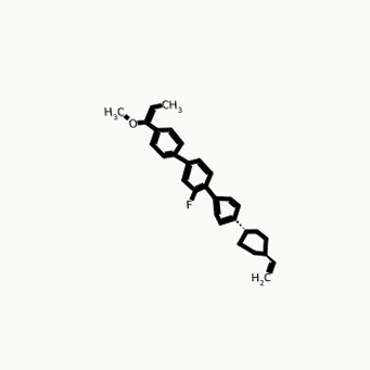 C=C[C@H]1CC[C@H](c2ccc(-c3ccc(-c4ccc(/C(=C\C)OC)cc4)cc3F)cc2)CC1